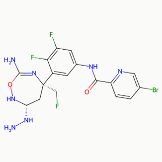 NN[C@H]1C[C@](CF)(c2cc(NC(=O)c3ccc(Br)cn3)cc(F)c2F)N=C(N)ON1